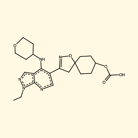 CCn1ncc2c(NC3CCOCC3)c(C3=NOC4(CCC(OC(=O)O)CC4)C3)cnc21